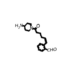 NC1CCN(C(=O)CCC/C=C\c2ccccc2C=O)CC1